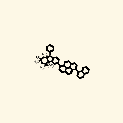 CC1(C)CC(C)(C)C2(C)c3cc(-c4ccc5ccc6c(-c7cccc8ccccc78)ccc7ccc4c5c76)ccc3N(c3ccccc3)C2(C)C1